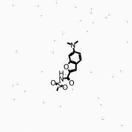 CN(C)c1ccc2cc(C(=O)NS(C)(=O)=O)oc2c1